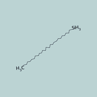 CCCCCCCCCCCCCCCCCCCCCCCCCCC[SiH3]